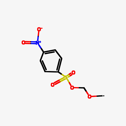 [CH2]OCOS(=O)(=O)c1ccc([N+](=O)[O-])cc1